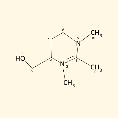 CC1=[N+](C)C(CO)CCN1C